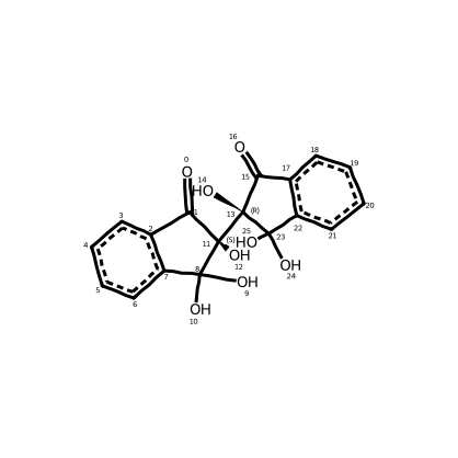 O=C1c2ccccc2C(O)(O)[C@@]1(O)[C@]1(O)C(=O)c2ccccc2C1(O)O